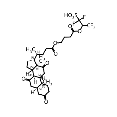 C[C@H](CCC(=O)OCCCC(=O)OC(C(F)(F)F)C(F)(F)S(=O)(=O)O)[C@H]1CC[C@H]2[C@@H]3C(=O)C[C@@H]4CC(=O)CC[C@]4(C)[C@H]3CC(=O)[C@]12C